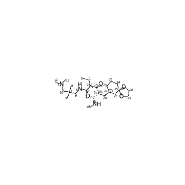 CCN(C(=O)NCC(C)(C)CN(C)C)C(=O)[C@@H](CNC)C[C@H]1CCCC2(C1)OCCO2